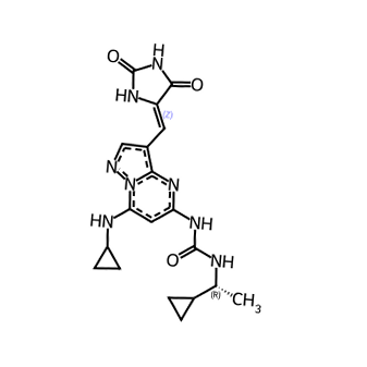 C[C@@H](NC(=O)Nc1cc(NC2CC2)n2ncc(/C=C3\NC(=O)NC3=O)c2n1)C1CC1